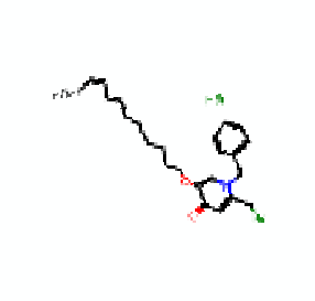 Br.CCCCCCCC/C=C\CCCCCCCCOc1cn(Cc2ccccc2)c(CBr)cc1=O